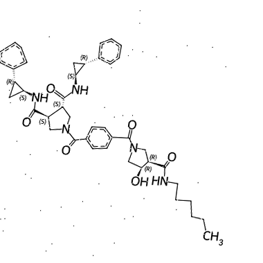 CCCCCCNC(=O)[C@@H]1CN(C(=O)c2ccc(C(=O)N3C[C@@H](C(=O)N[C@H]4C[C@@H]4c4ccccc4)[C@H](C(=O)N[C@H]4C[C@@H]4c4ccccc4)C3)cc2)C[C@@H]1O